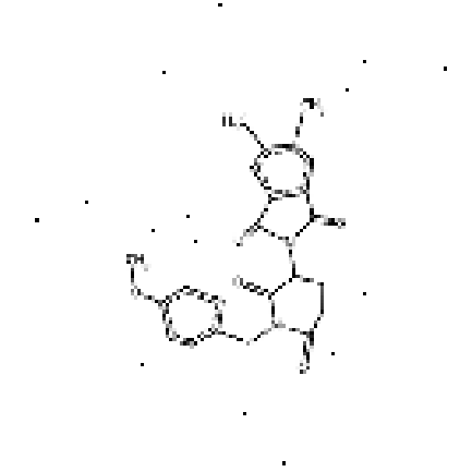 COc1ccc(CN2C(=O)CCC(N3C(=O)c4cc(C)c(C)cc4C3=O)C2=O)cc1